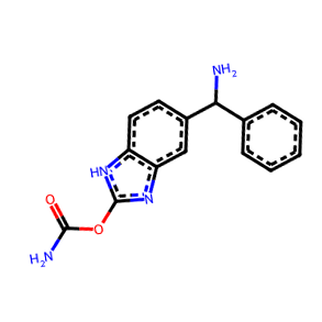 NC(=O)Oc1nc2cc(C(N)c3ccccc3)ccc2[nH]1